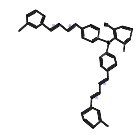 CCc1cccc(C)c1N(c1ccc(/C=C/C=C/c2cccc(C)c2)cc1)c1ccc(/C=C/C=C/c2cccc(C)c2)cc1